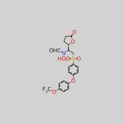 O=CN(O)C(CS(=O)(=O)c1ccc(Oc2ccc(OC(F)(F)F)cc2)cc1)[C@H]1CCC(=O)O1